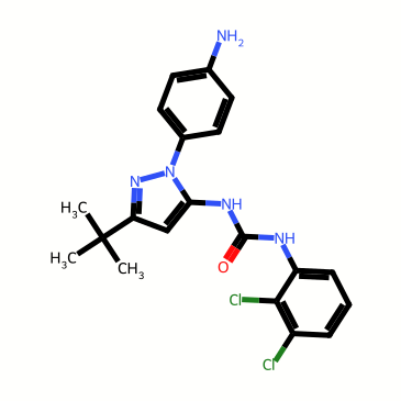 CC(C)(C)c1cc(NC(=O)Nc2cccc(Cl)c2Cl)n(-c2ccc(N)cc2)n1